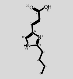 CCCCc1nc(C=CC(=O)O)c[nH]1